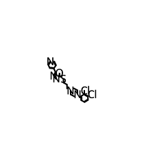 Clc1cccc(N2CCN(CCCSc3nnc(-c4ccncc4)o3)CC2)c1Cl